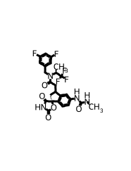 CNC(=O)Nc1ccc2c(c1)C(CC(=O)N(Cc1cc(F)cc(F)c1)[C@@H](C)C(F)(F)F)C[C@@]21OC(=O)NC1=O